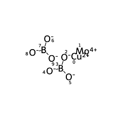 [Cu+2].[Mo+4].[O-]B([O-])[O-].[O-]B([O-])[O-]